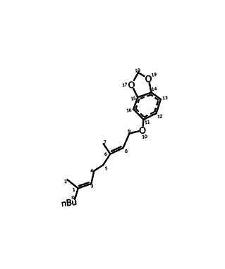 CCCC/C(C)=C/CC/C(C)=C/COc1ccc2c(c1)OCO2